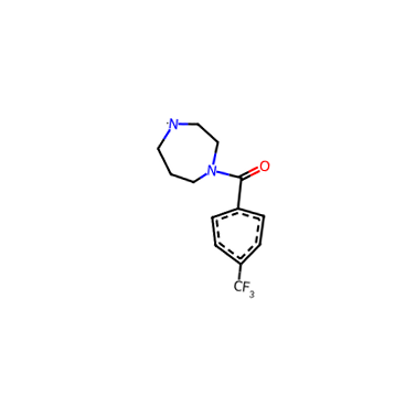 O=C(c1ccc(C(F)(F)F)cc1)N1CCC[N]CC1